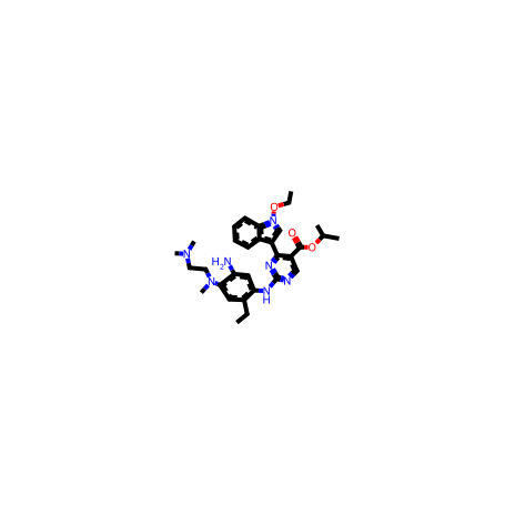 CCOn1cc(-c2nc(Nc3cc(N)c(N(C)CCN(C)C)cc3CC)ncc2C(=O)OC(C)C)c2ccccc21